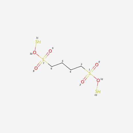 O=S(=O)(CCCCS(=O)(=O)OS)OS